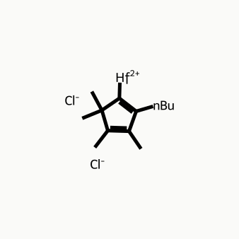 CCCCC1=[C]([Hf+2])C(C)(C)C(C)=C1C.[Cl-].[Cl-]